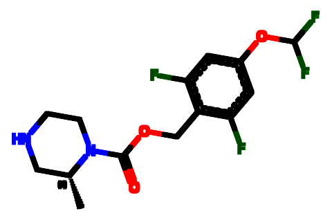 C[C@@H]1CNCCN1C(=O)OCc1c(F)cc(OC(F)F)cc1F